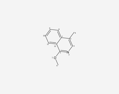 COc1ncc(C)c2ccccc12